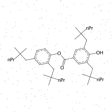 CCCC(C)(C)Cc1ccc(OC(=O)c2cc(CC(C)(C)CCC)c(O)c(CC(C)(C)CCC)c2)c(CC(C)(C)CCC)c1